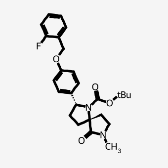 CN1CC[C@]2(CC[C@H](c3ccc(OCc4ccccc4F)cc3)N2C(=O)OC(C)(C)C)C1=O